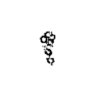 CN1CCN(c2ccc(Nc3ncc4c(n3)N3C(=NCCC35CCCCC5)C=C4)nc2)CC1